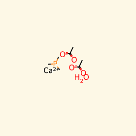 CC(=O)[O-].CC(=O)[O-].CP(C)C.O.[Ca+2]